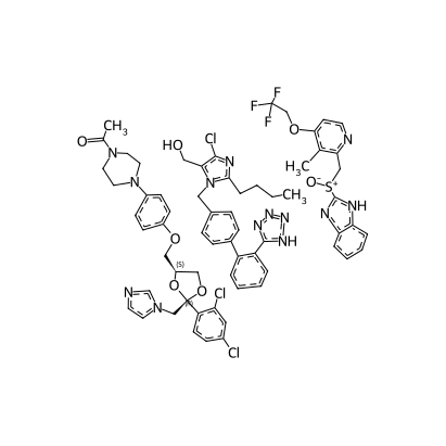 CC(=O)N1CCN(c2ccc(OC[C@H]3CO[C@](Cn4ccnc4)(c4ccc(Cl)cc4Cl)O3)cc2)CC1.CCCCc1nc(Cl)c(CO)n1Cc1ccc(-c2ccccc2-c2nnn[nH]2)cc1.Cc1c(OCC(F)(F)F)ccnc1C[S+]([O-])c1nc2ccccc2[nH]1